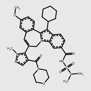 COc1ccc2c(c1)C=C(c1c(C(=O)N3CCOCC3)cnn1C)Cn1c-2c(C2CCCCC2)c2ccc(C(=O)NS(=O)(=O)N(C)C)cc21